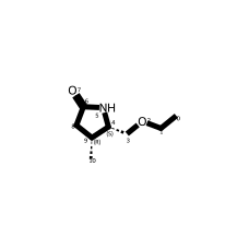 CCOC[C@H]1NC(=O)C[C@H]1C